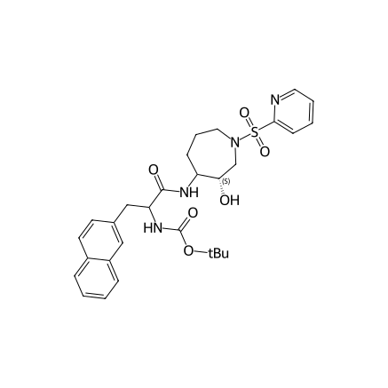 CC(C)(C)OC(=O)NC(Cc1ccc2ccccc2c1)C(=O)NC1CCCN(S(=O)(=O)c2ccccn2)C[C@@H]1O